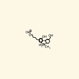 C=C(C)[C@H]1CCC(CO)=C[C@@H]1c1c(O)cc(CCCCO[N+](=O)[O-])cc1O